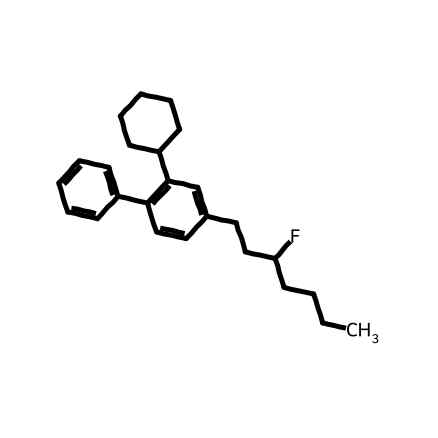 CCCCC(F)CCc1ccc(-c2ccccc2)c(C2CCCCC2)c1